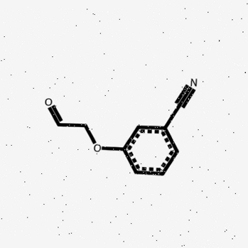 N#Cc1cccc(OCC=O)c1